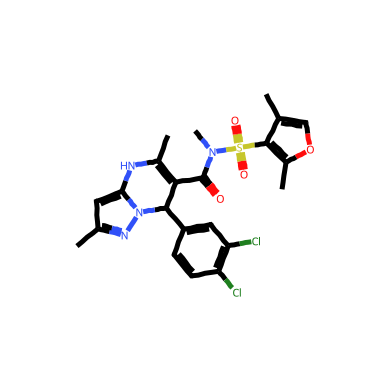 CC1=C(C(=O)N(C)S(=O)(=O)c2c(C)coc2C)C(c2ccc(Cl)c(Cl)c2)n2nc(C)cc2N1